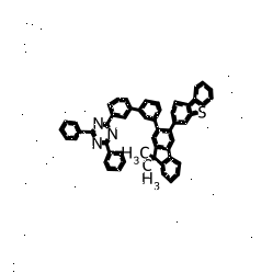 CC1(C)c2ccccc2-c2cc(-c3ccc4c(c3)sc3ccccc34)c(-c3cccc(-c4cccc(-c5nc(-c6ccccc6)nc(-c6ccccc6)n5)c4)c3)cc21